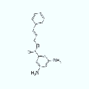 Nc1cc(N)cc(C(=O)OCC=Cc2ccccc2)c1